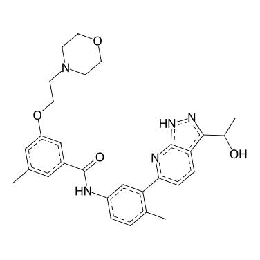 Cc1cc(OCCN2CCOCC2)cc(C(=O)Nc2ccc(C)c(-c3ccc4c(C(C)O)n[nH]c4n3)c2)c1